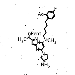 CCCCCC(C)c1cc2nc(N3CC[C@H](N)C3)cc(N(C)CCCCCc3ccc(F)cc3C(C)=O)n2n1